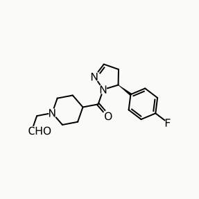 O=CCN1CCC(C(=O)N2N=CC[C@H]2c2ccc(F)cc2)CC1